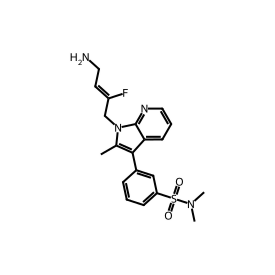 Cc1c(-c2cccc(S(=O)(=O)N(C)C)c2)c2cccnc2n1C/C(F)=C/CN